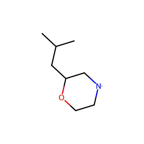 CC(C)CC1C[N]CCO1